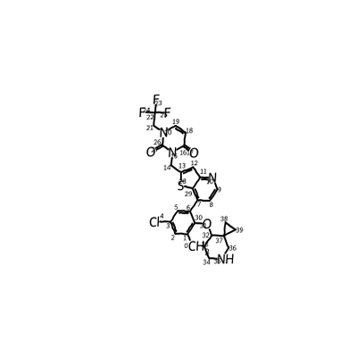 Cc1cc(Cl)cc(-c2ccnc3cc(Cn4c(=O)ccn(CC(F)(F)F)c4=O)sc23)c1OC1CCNCC12CC2